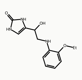 CCOc1ccccc1NCC(O)c1c[nH]c(=O)[nH]1